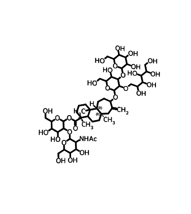 C=C1C[C@@]2(C)CCC3C(C)(CCC[C@@]3(C)C(=O)OC3OC(CO)C(O)C(O)C3OC3OC(CO)C(O)C(O)C3NC(C)=O)[C@@H]2CCC1OC1OC(CO)C(O)C(OC2OC(CO)C(O)C(O)C2O)C1OCC(O)C(O)C(O)C(O)CO